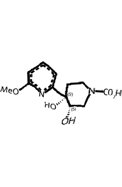 COc1cccc([C@@]2(O)CCN(C(=O)O)C[C@@H]2O)n1